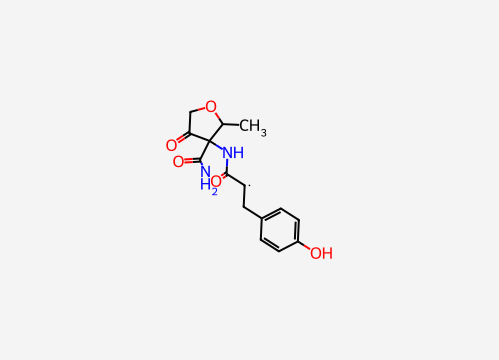 CC1OCC(=O)C1(NC(=O)[CH]Cc1ccc(O)cc1)C(N)=O